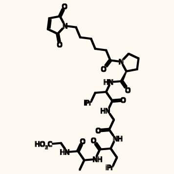 CC(C)CC(NC(=O)CNC(=O)C(CC(C)C)NC(=O)[C@@H]1CCCN1C(=O)CCCCCN1C(=O)C=CC1=O)C(=O)NC(C)C(=O)NCC(=O)O